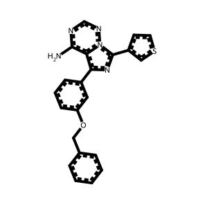 Nc1ncnn2c(-c3ccsc3)nc(-c3cccc(OCc4ccccc4)c3)c12